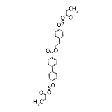 C=CC(=O)OSOc1ccc(CCOC(=O)c2ccc(-c3ccc(OSOC(=O)C=C)cc3)cc2)cc1